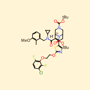 COc1cccc(CN(C(=O)C2=C(c3cnc(OCCOc4c(F)ccc(Cl)c4F)s3)CC3CN(C(=O)OC(C)(C)C)C[C@H]2N3C(=O)OC(C)(C)C)C2CC2)c1C